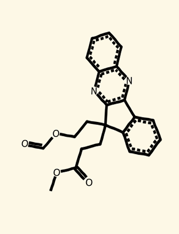 COC(=O)CCC1(CCOC=O)c2ccccc2-c2nc3ccccc3nc21